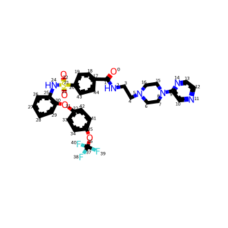 O=C(NCCN1CCN(c2cnccn2)CC1)c1ccc(S(=O)(=O)Nc2ccccc2Oc2ccc(OC(F)(F)F)cc2)cc1